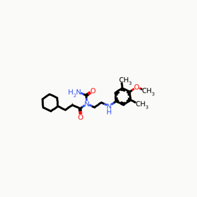 COc1c(C)cc(NCCN(C(N)=O)C(=O)[CH]CC2CCCCC2)cc1C